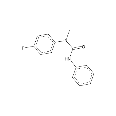 CN(C(=O)Nc1ccccc1)c1ccc(F)cc1